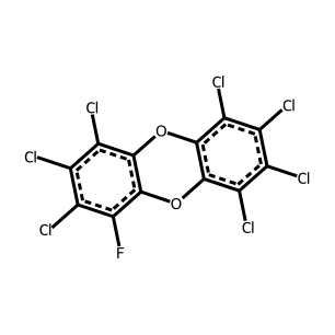 Fc1c(Cl)c(Cl)c(Cl)c2c1Oc1c(Cl)c(Cl)c(Cl)c(Cl)c1O2